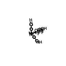 C1=C(c2ccc(-c3nnc(-c4ccc(C5=CCNCC5)cc4)n3C3CC3)cc2)CCNC1.O=C(O)C(F)(F)F.O=C(O)C(F)(F)F